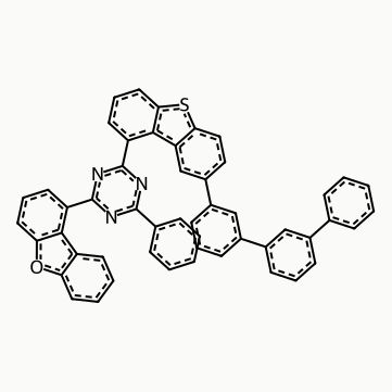 c1ccc(-c2cccc(-c3cccc(-c4ccc5sc6cccc(-c7nc(-c8ccccc8)nc(-c8cccc9oc%10ccccc%10c89)n7)c6c5c4)c3)c2)cc1